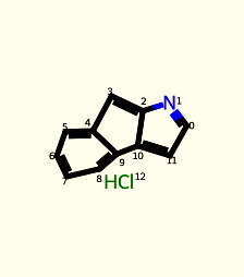 C1=NC2=Cc3ccccc3C2=C1.Cl